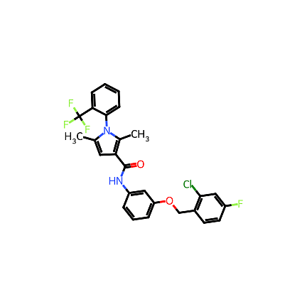 Cc1cc(C(=O)Nc2cccc(OCc3ccc(F)cc3Cl)c2)c(C)n1-c1ccccc1C(F)(F)F